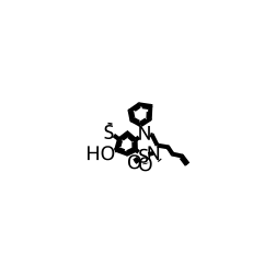 C=CCCC1CN(c2ccccc2)c2cc(SC)c(O)cc2S(=O)(=O)N1C